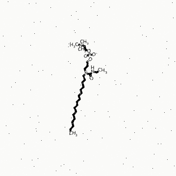 CCCCCCCCCCCCCCCCCCN(CCCOP(=O)([O-])OCC[N+](C)(C)C)C(=O)NCC